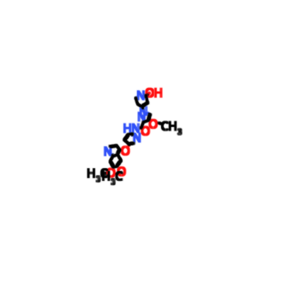 CCOc1cn(C2=CC(O)=NCC2)nc1C(=O)Nc1ccc(Oc2ccnc3cc(OC)c(OC)cc23)cn1